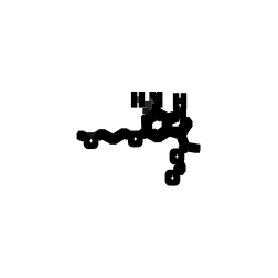 COCCCOc1cc(N)c2[nH]cc(C(C)OC=O)c2c1